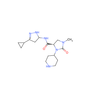 CN1C[C@H](C(=O)NC2CC(C3CC3)=NN2)N(C2CCNCC2)C1=O